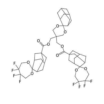 O=C(OCC1(COC(=O)C23CC4CC(C2)C2(OCC(F)(F)C(F)(F)CO2)C(C4)C3)COC2(OC1)C1CC3CC(C1)CC2C3)C12CC3CC(C1)C1(OCC(F)(F)C(F)(F)CO1)C(C3)C2